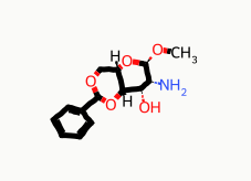 CO[C@H]1O[C@@H]2COC(c3ccccc3)O[C@H]2[C@@H](O)[C@H]1N